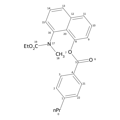 CCCc1ccc(C(=O)Oc2cccc3cccc(N(C)C(=O)OCC)c23)cc1